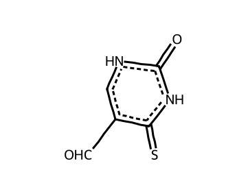 O=Cc1c[nH]c(=O)[nH]c1=S